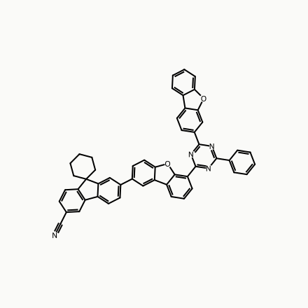 N#Cc1ccc2c(c1)-c1ccc(-c3ccc4oc5c(-c6nc(-c7ccccc7)nc(-c7ccc8c(c7)oc7ccccc78)n6)cccc5c4c3)cc1C21CCCCC1